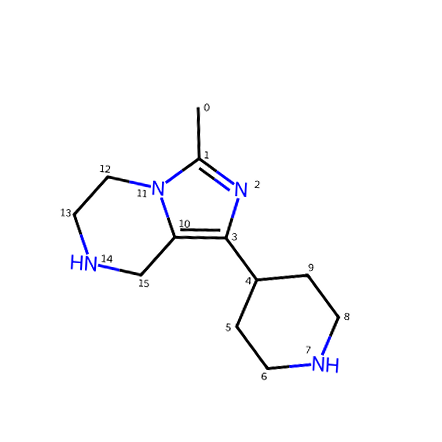 Cc1nc(C2CCNCC2)c2n1CCNC2